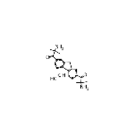 CC(C)(N)C(=O)c1ccc2c(c1)Cc1cc(C(=O)C(C)(C)N)ccc1-2.Cl.Cl